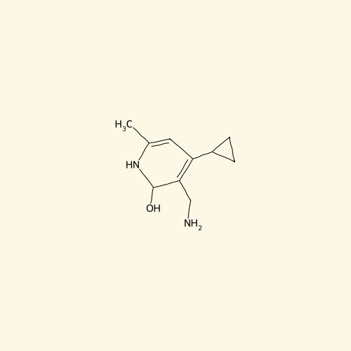 CC1=CC(C2CC2)=C(CN)C(O)N1